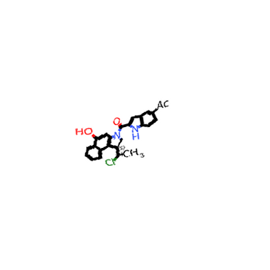 CC(=O)c1ccc2[nH]c(C(=O)N3C[C@@H]([C@@H](C)Cl)c4c3cc(O)c3ccccc43)cc2c1